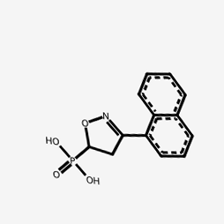 O=P(O)(O)C1CC(c2cccc3ccccc23)=NO1